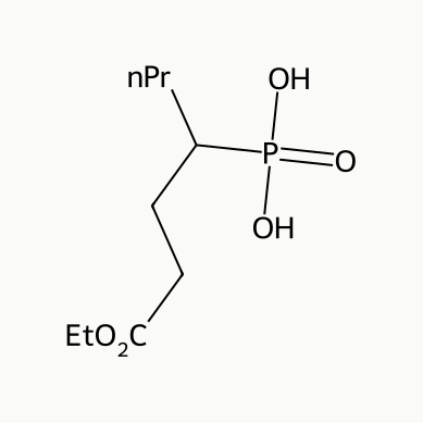 CCCC(CCC(=O)OCC)P(=O)(O)O